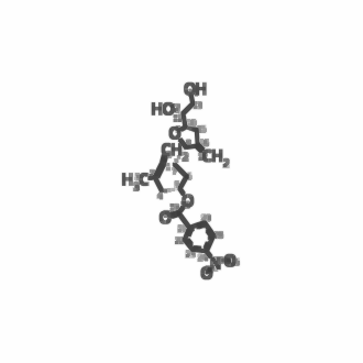 C=C=C(C)C[C@H](CC[C@@H]1O[C@@H]([C@H](O)CO)CC1=C)OC(=O)c1ccc([N+](=O)[O-])cc1